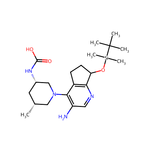 C[C@@H]1C[C@H](NC(=O)O)CN(c2c(N)cnc3c2CCC3O[Si](C)(C)C(C)(C)C)C1